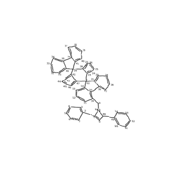 C1=C(c2ccccc2)N(Cc2cccc3c2-c2ccccc2C32c3ccccc3C3(c4ccccc4-c4ccccc43)c3ccccc32)C1c1ccccc1